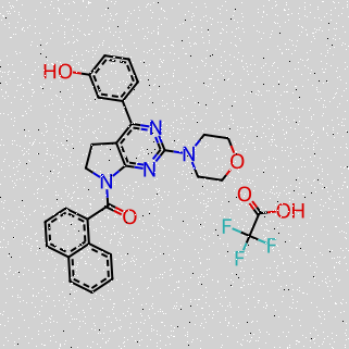 O=C(O)C(F)(F)F.O=C(c1cccc2ccccc12)N1CCc2c(-c3cccc(O)c3)nc(N3CCOCC3)nc21